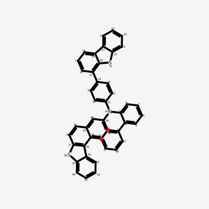 c1ccc(-c2ccccc2N(c2ccc(-c3cccc4c3sc3ccccc34)cc2)c2ccc3c(ccc4sc5ccccc5c43)c2)cc1